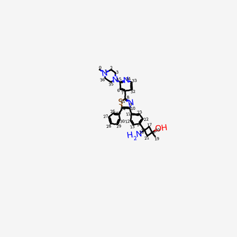 CN1CCN(c2cc(-c3nc(-c4ccc(C5(N)CC(C)(O)C5)cc4)c(-c4ccccc4)s3)ccn2)CC1